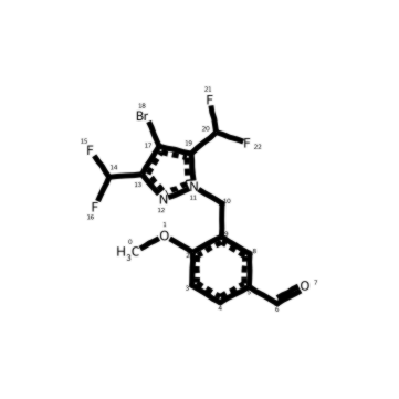 COc1ccc(C=O)cc1Cn1nc(C(F)F)c(Br)c1C(F)F